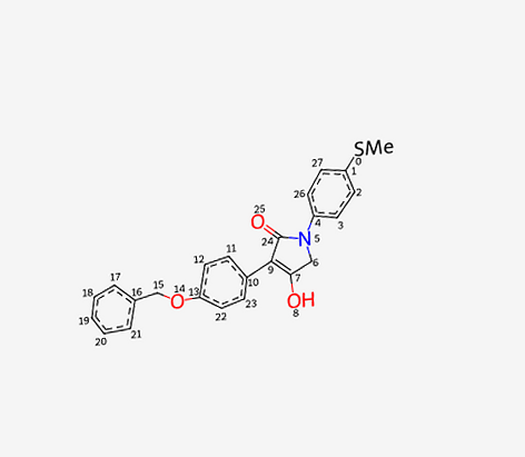 CSc1ccc(N2CC(O)=C(c3ccc(OCc4ccccc4)cc3)C2=O)cc1